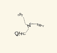 CCCN([C]=O)CCC